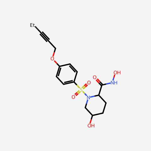 CCC#CCOc1ccc(S(=O)(=O)N2CC(O)CCC2C(=O)NO)cc1